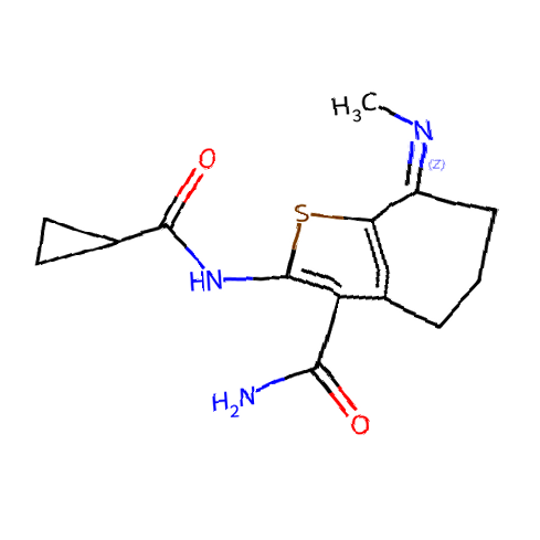 C/N=C1/CCCc2c1sc(NC(=O)C1CC1)c2C(N)=O